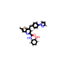 Cc1cc2nc(C(=O)N[C@H]3CCCC[C@@H]3O)cc(Cc3ccc(-n4cccn4)cc3)c2s1